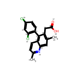 Cc1ccc2c(-c3ccc(Cl)cc3Cl)c(CC(=O)O)c(C)cc2n1